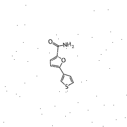 NC(=O)c1ccc(-c2ccsc2)o1